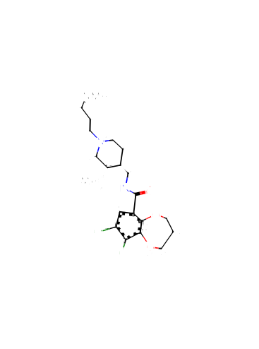 CNCCCN1CC[C@@H](CNC(=O)c2cc(Cl)c(Cl)c3c2OCCCO3)[C@H](OC)C1